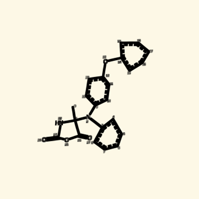 CC1(N(c2ccccc2)c2ccc(Oc3ccccc3)cc2)NC(=O)OC1=O